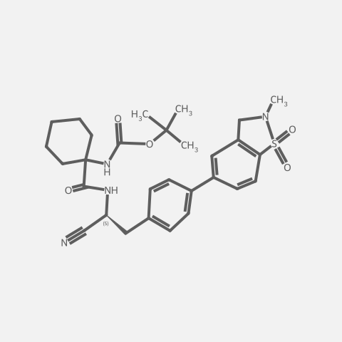 CN1Cc2cc(-c3ccc(C[C@@H](C#N)NC(=O)C4(NC(=O)OC(C)(C)C)CCCCC4)cc3)ccc2S1(=O)=O